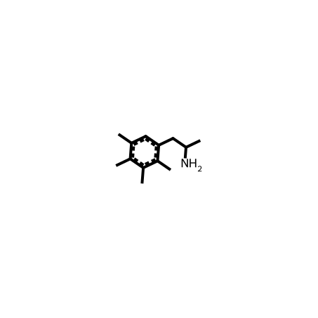 Cc1cc(CC(C)N)c(C)c(C)c1C